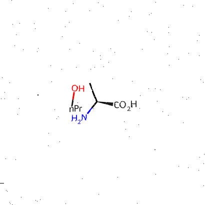 CCCO.C[C@H](N)C(=O)O